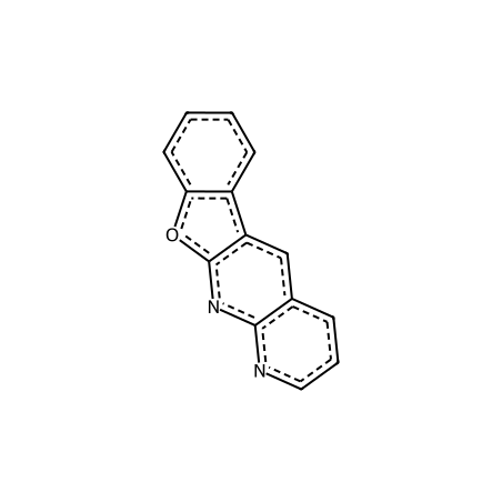 c1cnc2nc3oc4ccccc4c3cc2c1